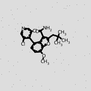 COc1ccc(-c2c(Cl)cncc2Cl)c2c(C(N)=O)c(CC(C)(C)C)oc12